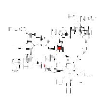 CCCCCCCCNCc1c(O)cc2c(c1O)-c1cc(ccc1O)[C@H]1NC(=O)[C@@H]3NC(=O)[C@H](CC(N)=O)NC(=O)[C@H](NC(=O)[C@@H](CC(C)C)NC)[C@H](O)c4ccc(c(C)c4)Oc4cc3cc(c4O[C@@H]3O[C@H](CO)[C@@H](O)[C@H](O)[C@H]3O)Oc3ccc(cc3Cl)[C@@H](O)[C@H](NC1=O)C(=O)N[C@@H]2C(=O)NC1C2CC3CC(C2)CC1C3